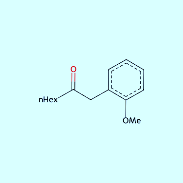 CCCCCCC(=O)Cc1ccccc1OC